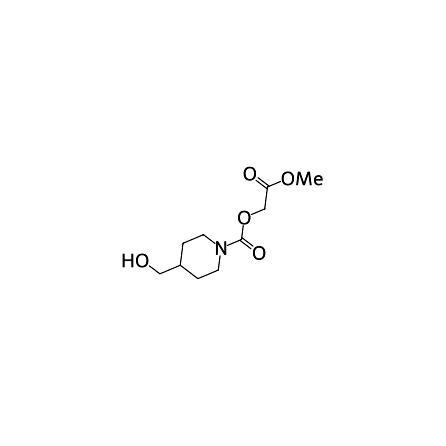 COC(=O)COC(=O)N1CCC(CO)CC1